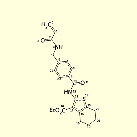 C=CC(=O)NCc1ccc(C(=O)Nc2sc3c(c2C(=O)OCC)CCCC3)cc1